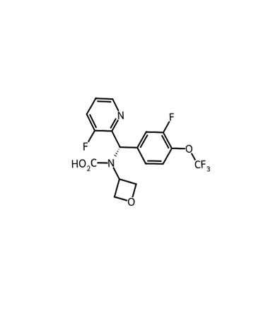 O=C(O)N(C1COC1)[C@@H](c1ccc(OC(F)(F)F)c(F)c1)c1ncccc1F